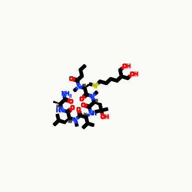 CCCC(=O)N(C)[C@H](CSCCCCC(CO)CO)C(=O)N(C)[C@@H](CC(C)(C)O)C(=O)N[C@H](C(=O)N(C)[C@@H](CC(C)C)C(=O)N[C@H](C)C(N)=O)C(C)C